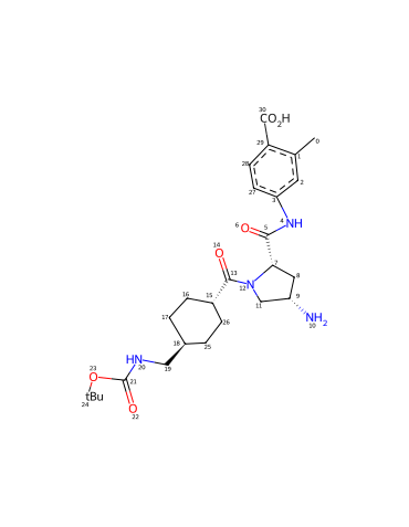 Cc1cc(NC(=O)[C@@H]2C[C@H](N)CN2C(=O)[C@H]2CC[C@H](CNC(=O)OC(C)(C)C)CC2)ccc1C(=O)O